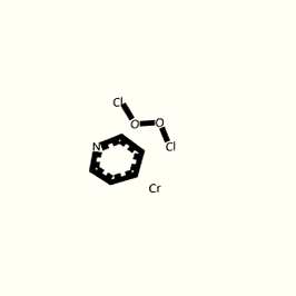 ClOOCl.[Cr].c1ccncc1